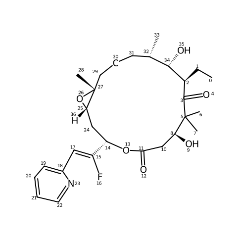 CC[C@H]1C(=O)C(C)(C)[C@@H](O)CC(=O)O[C@H](C(F)=Cc2ccccn2)C[C@@H]2O[C@]2(C)CCC[C@H](C)[C@@H]1O